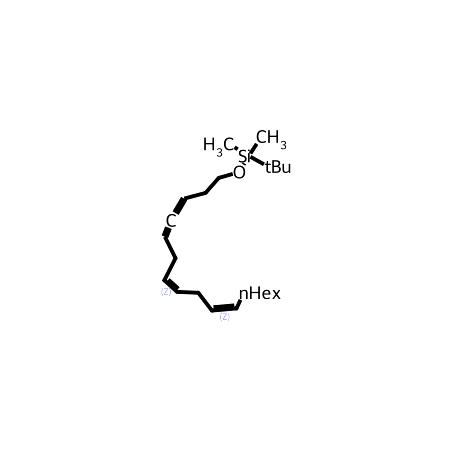 CCCCCC/C=C\C/C=C\CC=C=CCCO[Si](C)(C)C(C)(C)C